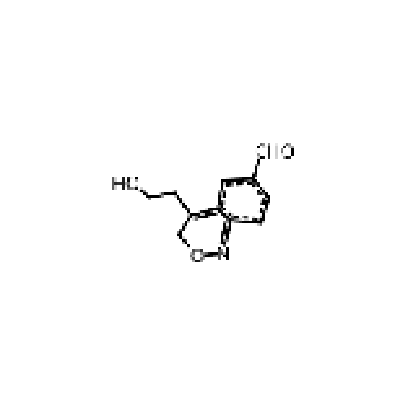 O=Cc1ccc2c(c1)=C(CCO)CON=2